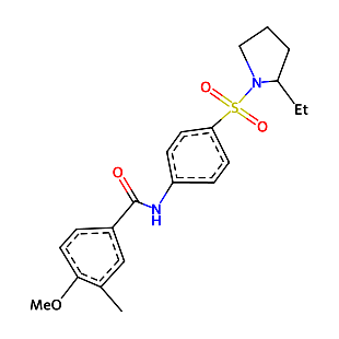 CCC1CCCN1S(=O)(=O)c1ccc(NC(=O)c2ccc(OC)c(C)c2)cc1